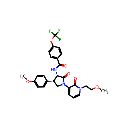 COCCn1cccc(N2C[C@@H](c3ccc(OC)cc3)[C@H](NC(=O)c3ccc(OC(F)(F)F)cc3)C2=O)c1=O